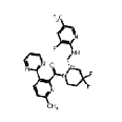 Cc1ccc(-c2ncccn2)c(C(=O)N2CCC(F)(F)C[C@H]2CNc2ncc(C(F)(F)F)cc2F)n1